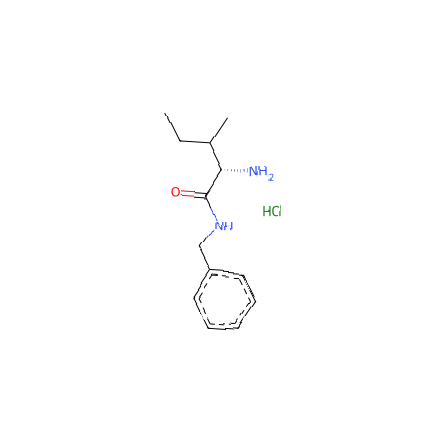 CCC(C)[C@H](N)C(=O)NCc1ccccc1.Cl